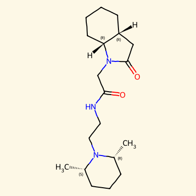 C[C@@H]1CCC[C@H](C)N1CCNC(=O)CN1C(=O)C[C@H]2CCCC[C@H]21